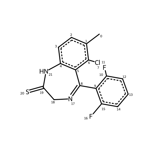 Cc1ccc2c(c1Cl)C(c1c(F)cccc1F)=NCC(=S)N2